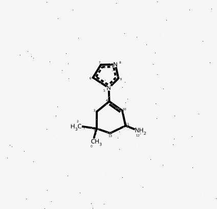 CC1(C)CC(n2ccnc2)=CC(N)C1